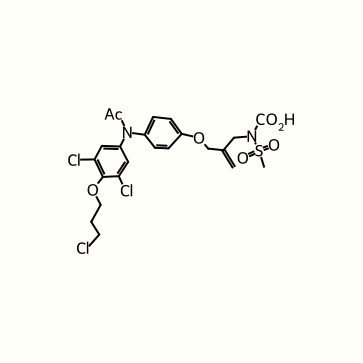 C=C(COc1ccc(N(C(C)=O)c2cc(Cl)c(OCCCCl)c(Cl)c2)cc1)CN(C(=O)O)S(C)(=O)=O